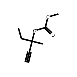 C#CC(C)(CC)OC(=O)OC